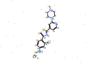 CN1CCN(c2cc(-c3nc(-c4ccc(NSC(F)(F)F)cc4Cl)cs3)ccn2)CC1